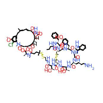 CCCC(=O)N[C@H](Cc1ccccc1)C(=O)N[C@H]1CSSC[C@@H](C(=O)N[C@H](C(=O)NCCSSC(C)(C)CCC(=O)N(C)[C@@H](C)C(=O)O[C@H]2CC(=O)N(C)c3cc(cc(OC)c3Cl)C/C(C)=C/C=C/[C@@H](OC)[C@@]3(O)C[C@H](OC(=O)N3)[C@@H](C)[C@@H]3O[C@@]23C)[C@@H](C)O)NC(=O)[C@H]([C@@H](C)O)NC(=O)[C@H](CCCCN)NC(=O)[C@@H](Cc2c[nH]c3ccccc23)NC(=O)[C@H](Cc2ccc(O)cc2)NC1=O